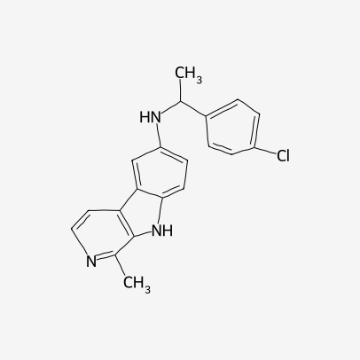 Cc1nccc2c1[nH]c1ccc(NC(C)c3ccc(Cl)cc3)cc12